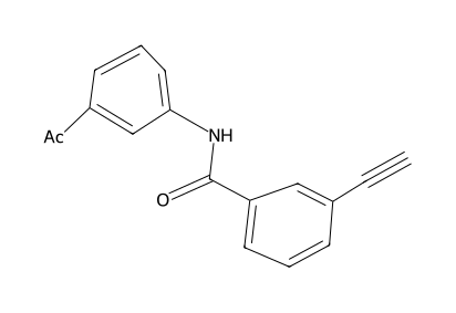 C#Cc1cccc(C(=O)Nc2cccc(C(C)=O)c2)c1